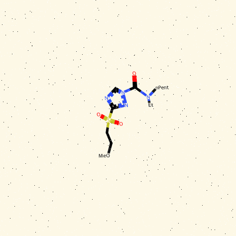 CCCCCN(CC)C(=O)n1cnc(S(=O)(=O)CCOC)n1